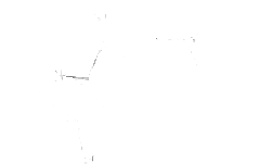 CN(C)CCC(O)c1cc(Br)ccn1